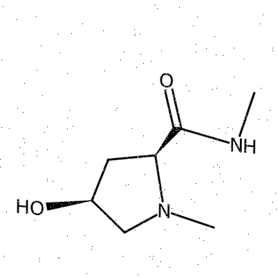 CNC(=O)[C@@H]1C[C@H](O)CN1C